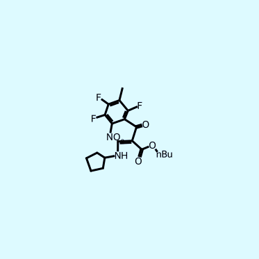 CCCCOC(=O)C(=CNC1CCCC1)C(=O)c1c(F)c(C)c(F)c(F)c1[N+](=O)[O-]